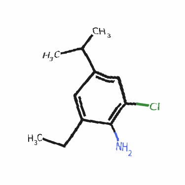 CCc1cc(C(C)C)cc(Cl)c1N